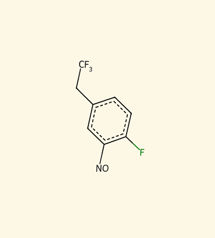 O=Nc1cc(CC(F)(F)F)ccc1F